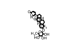 C[C@@H]1OC(O[C@@H]2C=C3CC[C@@H]4[C@H](CC[C@]5(C)[C@@H](c6ccc(=O)oc6)CC[C@]45O)[C@@]3(C)CC2)[C@H](O)C(O)[C@H]1O